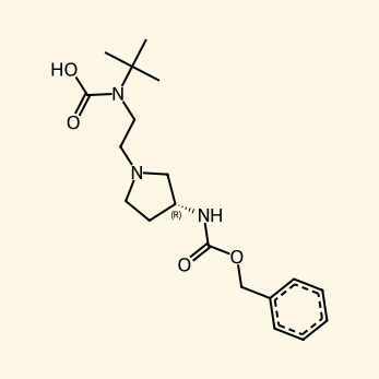 CC(C)(C)N(CCN1CC[C@@H](NC(=O)OCc2ccccc2)C1)C(=O)O